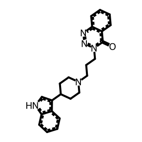 O=c1c2ccccc2nnn1CCCN1CCC(c2c[nH]c3ccccc23)CC1